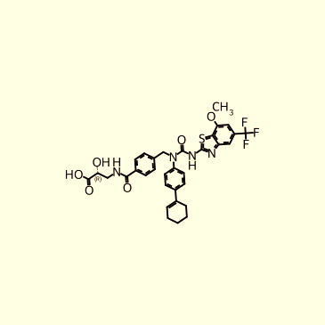 COc1cc(C(F)(F)F)cc2nc(NC(=O)N(Cc3ccc(C(=O)NC[C@@H](O)C(=O)O)cc3)c3ccc(C4=CCCCC4)cc3)sc12